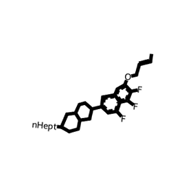 CC=CCOc1cc2cc(C3CCC4CC(CCCCCCC)CCC4C3)cc(F)c2c(F)c1F